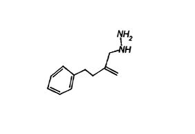 C=C(CCc1ccccc1)CNN